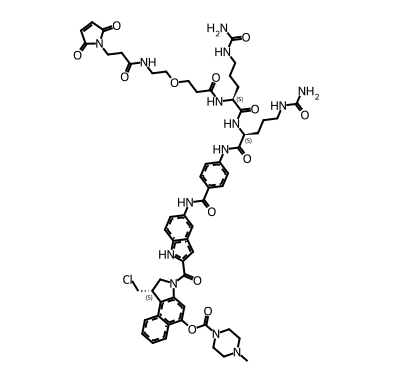 CN1CCN(C(=O)Oc2cc3c(c4ccccc24)[C@H](CCl)CN3C(=O)c2cc3cc(NC(=O)c4ccc(NC(=O)[C@H](CCCNC(N)=O)NC(=O)[C@H](CCCNC(N)=O)NC(=O)CCOCCNC(=O)CCN5C(=O)C=CC5=O)cc4)ccc3[nH]2)CC1